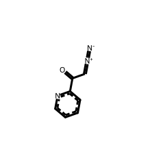 [N-]=[N+]=CC(=O)c1ccccn1